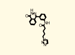 O=C(CCCCn1ccnn1)Nc1cccc(-c2n[nH]c(=O)c3ccccc23)c1